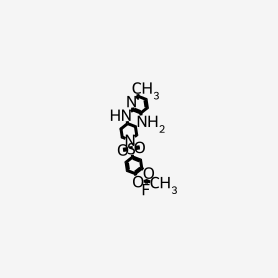 Cc1ccc(N)c(NC2CCN(S(=O)(=O)c3ccc4c(c3)OC(C)(F)O4)CC2)n1